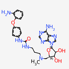 CN(CCCNC(=O)Nc1ccc(Oc2ccccc2N)cc1)C[C@H]1O[C@@H](n2cnc3c(N)ncnc32)C(O)C1O